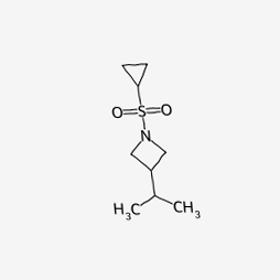 CC(C)C1CN(S(=O)(=O)C2CC2)C1